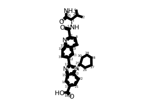 CC(C)[C@H](NC(=O)c1ccc2cc(-c3nc4cc(C(=O)O)ccc4n3C3CCCCC3)ccc2n1)C(N)=O